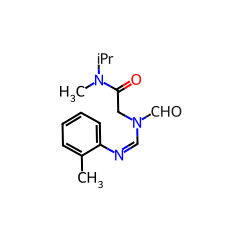 Cc1ccccc1/N=C\N(C=O)CC(=O)N(C)C(C)C